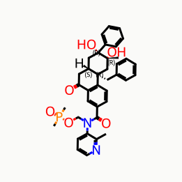 Cc1ncccc1N(COP(C)(C)=O)C(=O)c1ccc2c(c1)C(=O)C[C@@H]1C[C@@](O)(c3ccccc3)[C@](C)(O)C[C@@]21Cc1ccccc1